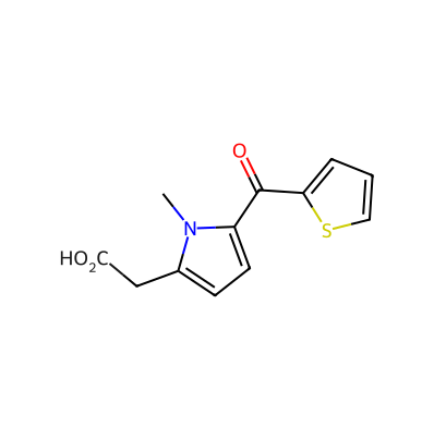 Cn1c(CC(=O)O)ccc1C(=O)c1cccs1